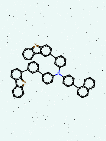 c1cc(-c2cccc(N(c3ccc(-c4cccc5ccccc45)cc3)c3cccc(-c4ccc5sc6ccccc6c5c4)c3)c2)cc(-c2cccc3c2sc2ccccc23)c1